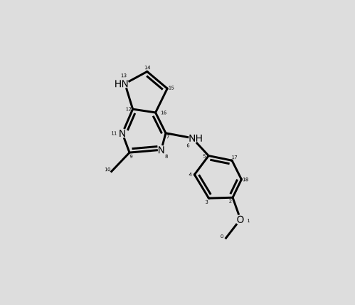 COc1ccc(Nc2nc(C)nc3[nH]ccc23)cc1